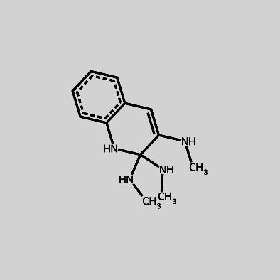 CNC1=Cc2ccccc2NC1(NC)NC